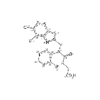 O=C(O)CCC(=O)N(Cc1nc2c(Cl)c(Cl)ccc2s1)c1ccccc1Br